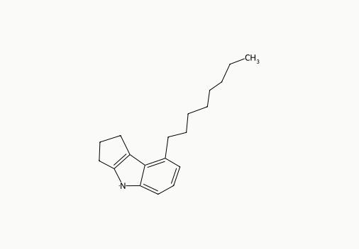 CCCCCCCCc1cccc2c1C1=C(CCC1)[N]2